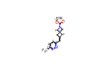 CC(C)(C)OC(=O)N1CC2(CC(=Cc3ccc(C(F)(F)F)nn3)C2)C1